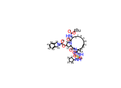 CC(C)(C)OC(=O)NC1CCCCCC=CC2CC2(C(=O)NS(=O)(=O)NC2CCCC2)NC(=O)C2CC(OC(=O)N3Cc4ccccc4C3)CN2C1=O